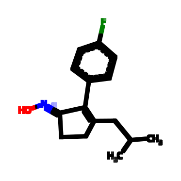 CC(C)CC1=C(c2ccc(F)cc2)/C(=N/O)CC1